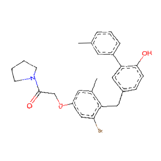 Cc1cccc(-c2cc(Cc3c(C)cc(OCC(=O)N4CCCC4)cc3Br)ccc2O)c1